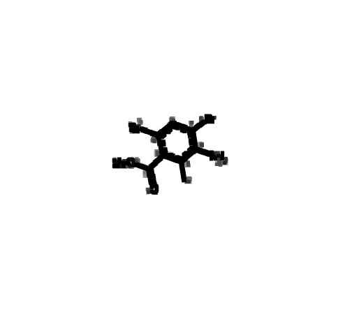 COC(=O)c1c(Br)cc(Br)c(N)c1C